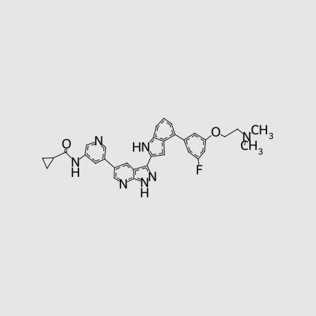 CN(C)CCOc1cc(F)cc(-c2cccc3[nH]c(-c4n[nH]c5ncc(-c6cncc(NC(=O)C7CC7)c6)cc45)cc23)c1